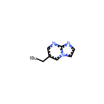 CC(C)(C)Cc1cnc2nccn2c1